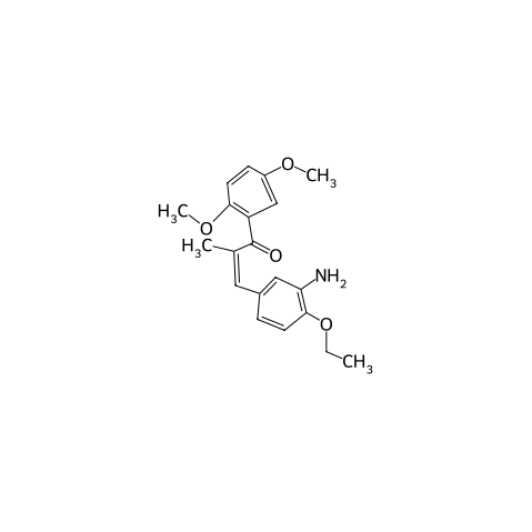 CCOc1ccc(C=C(C)C(=O)c2cc(OC)ccc2OC)cc1N